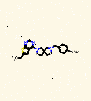 CNc1ccc(CN2CCC3(CCN(c4ncnc5sc(CC(F)(F)F)cc45)C3)C2)cc1